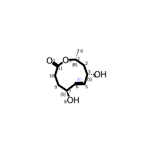 C[C@@H]1C[C@H](O)/C=C/[C@@H](O)CCC(=O)O1